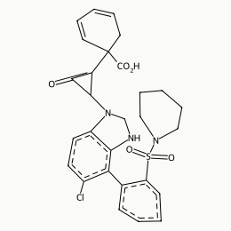 O=C1C(N2CNc3c2ccc(Cl)c3-c2ccccc2S(=O)(=O)N2CCCCC2)C1C1(C(=O)O)C=CC=CC1